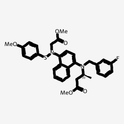 COC(=O)C[C@H](C)N(Cc1cccc(F)c1)c1ccc(N(CC(=O)OC)Sc2ccc(OC)cc2)c2ccccc12